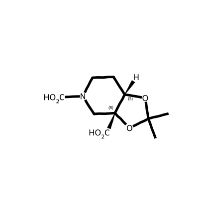 CC1(C)O[C@H]2CCN(C(=O)O)C[C@@]2(C(=O)O)O1